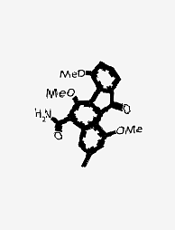 COc1cccc2c1-c1c(OC)c(C(N)=O)c3cc(C)cc(OC)c3c1C2=O